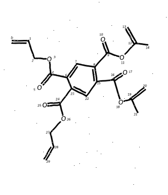 C=CCOC(=O)c1cc(C(=O)OC(=C)C)c(C(=O)OC(=C)C)cc1C(=O)OCC=C